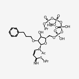 CCCSC(=N)/C=C\N(C(C)=O)[C@@H]1O[C@H](COP(=O)(O)OP(=O)(O)OP(=O)(O)OP(=O)(O)OC(C)C)C(O)[C@@H]1OCCCc1ccccc1